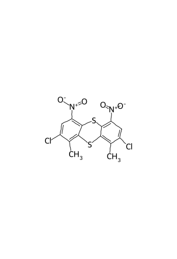 Cc1c(Cl)cc([N+](=O)[O-])c2c1Sc1c(C)c(Cl)cc([N+](=O)[O-])c1S2